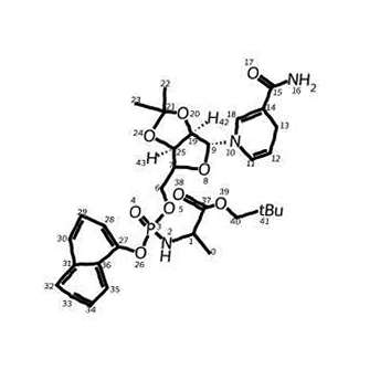 CC(NP(=O)(OCC1O[C@@H](N2C=CCC(C(N)=O)=C2)[C@@H]2OC(C)(C)O[C@H]12)Oc1cccc2ccccc12)C(=O)OCC(C)(C)C